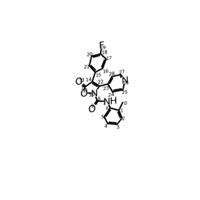 Cc1ccccc1NC(=O)n1oc(=O)c(-c2ccc(F)cc2)c1-c1ccncc1